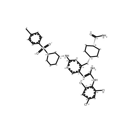 Cc1ccc(S(=O)(=O)N2CCC[C@@H](Nc3ncc(/N=C(\N)Nc4c(Cl)cc(Cl)cc4Cl)c(C[C@H]4CC[C@@H](C(N)=O)CC4)n3)C2)cc1